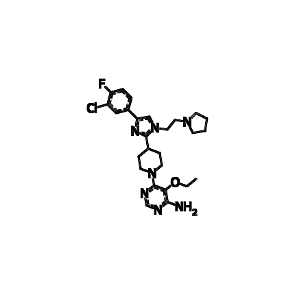 CCOc1c(N)ncnc1N1CCC(c2nc(-c3ccc(F)c(Cl)c3)cn2CCN2CCCC2)CC1